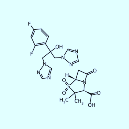 CC1(C)[C@H](C(=O)O)N2C(=O)C[C@H]2S1(=O)=O.OC(Cn1cncn1)(Cn1cncn1)c1ccc(F)cc1F